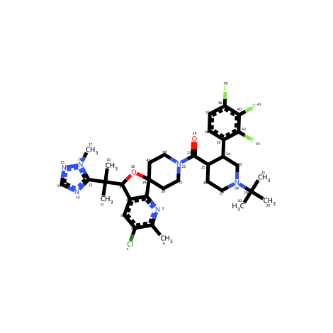 Cc1nc2c(cc1Cl)C(C(C)(C)c1ncnn1C)OC21CCN(C(=O)C2CCN(C(C)(C)C)CC2c2ccc(F)c(F)c2F)CC1